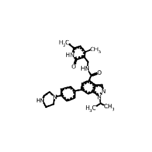 Cc1cc(C)c(CNC(=O)c2cc(-c3ccc(N4CCNCC4)cc3)cc3c2cnn3C(C)C)c(=O)[nH]1